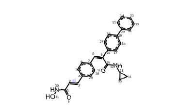 O=C(/C=C/c1ccc(C=C(C(=O)NC2CC2)c2ccc(-c3ccccc3)cc2)cc1)NO